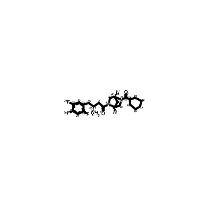 N[C@@H](CC(=O)N1C[C@H]2C[C@@H]1CN2C(=O)C1CCCCC1)Cc1cc(F)c(F)cc1F